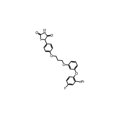 CCCc1cc(F)ccc1Oc1cccc(OCCCOc2ccc(C3SC(=O)NC3=O)cc2)c1